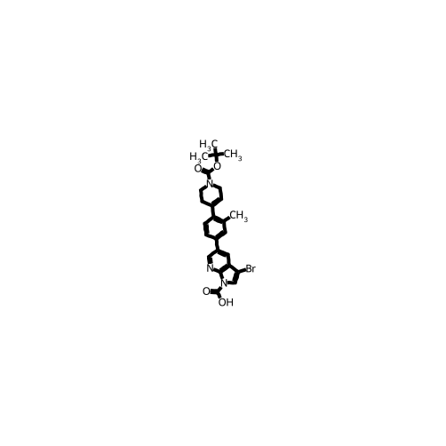 Cc1cc(-c2cnc3c(c2)c(Br)cn3C(=O)O)ccc1C1=CCN(C(=O)OC(C)(C)C)CC1